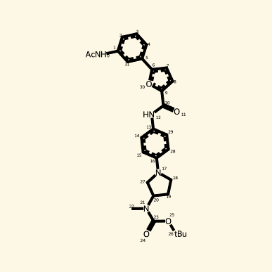 CC(=O)Nc1cccc(-c2ccc(C(=O)Nc3ccc(N4CCC(N(C)C(=O)OC(C)(C)C)C4)cc3)o2)c1